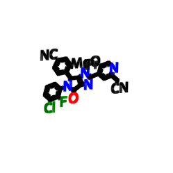 COc1cnc(CC#N)cc1-c1nc2c(n1C(C)C)C(c1ccc(C#N)cc1)N(c1cccc(Cl)c1F)C2=O